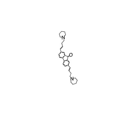 O=C1c2cc(C=CCCN3CCCCC3)ccc2-c2ccc(C=CCCN3CCCCC3)cc21